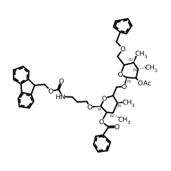 CC(=O)OC1[C@@H](OCC2O[C@H](OCCCNC(=O)OCC3c4ccccc4-c4ccccc43)C(OC(=O)c3ccccc3)[C@@H](C)[C@@H]2C)OC(COCc2ccccc2)[C@@H](C)[C@@H]1C